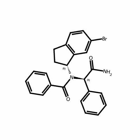 NC(=O)[C@@H](c1ccccc1)N(C(=O)c1ccccc1)[C@@H]1CCc2ccc(Br)cc21